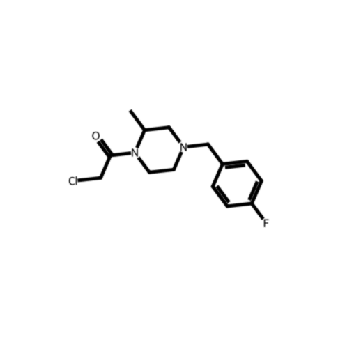 CC1CN(Cc2ccc(F)cc2)CCN1C(=O)CCl